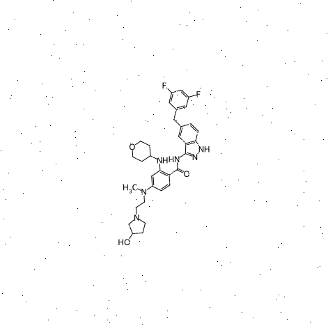 CN(CCN1CCC(O)C1)c1ccc(C(=O)Nc2n[nH]c3ccc(Cc4cc(F)cc(F)c4)cc23)c(NC2CCOCC2)c1